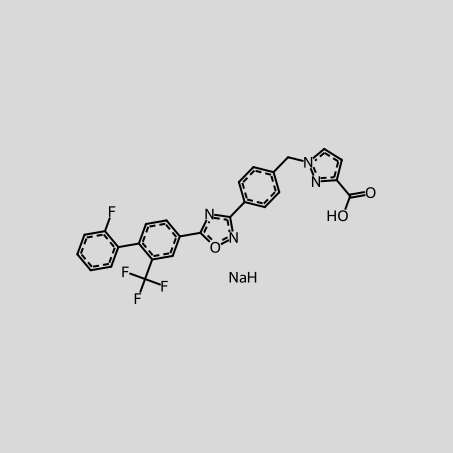 O=C(O)c1ccn(Cc2ccc(-c3noc(-c4ccc(-c5ccccc5F)c(C(F)(F)F)c4)n3)cc2)n1.[NaH]